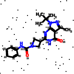 Cc1nn(C(C)(C)C)c2nc(C3CN(C(=O)Nc4ccccc4)C3)[nH]c(=O)c12